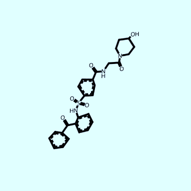 O=C(NCC(=O)N1CCC(O)CC1)c1ccc(S(=O)(=O)Nc2ccccc2C(=O)c2ccccc2)cc1